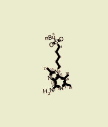 CCCCS(=O)(=O)CCCCCn1c(C)nc2c(N)nc(C)c(C)c21